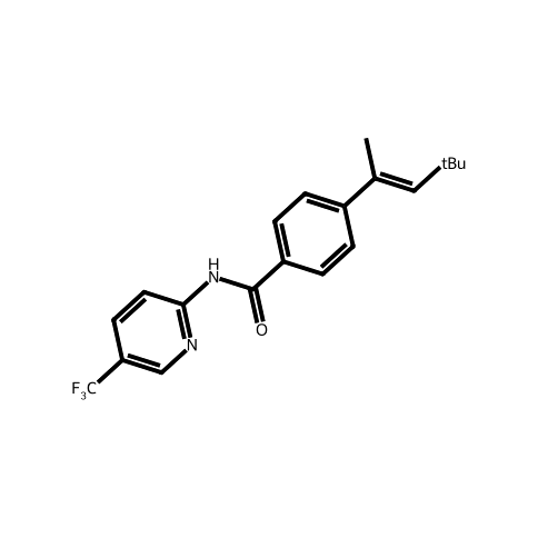 C/C(=C\C(C)(C)C)c1ccc(C(=O)Nc2ccc(C(F)(F)F)cn2)cc1